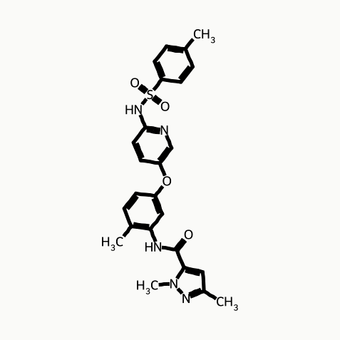 Cc1ccc(S(=O)(=O)Nc2ccc(Oc3ccc(C)c(NC(=O)c4cc(C)nn4C)c3)cn2)cc1